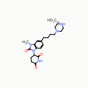 Cn1c(=O)n(C2CCC(=O)NC2=O)c2ccc(CCCCN3CCN[C@@H](C(=O)O)C3)cc21